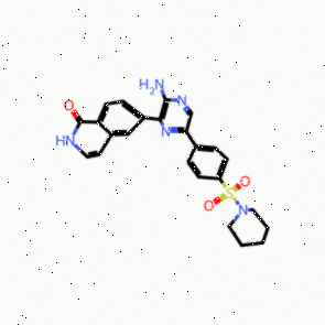 Nc1ncc(-c2ccc(S(=O)(=O)N3CCCCC3)cc2)nc1-c1ccc2c(=O)[nH]ccc2c1